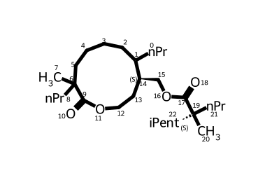 CCCC1CCCCC(C)(CCC)C(=O)OCC[C@@H]1COC(=O)C(C)(CCC)[C@@H](C)CCC